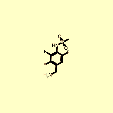 CS(=O)(=O)Nc1c(F)cc(CN)c(F)c1F